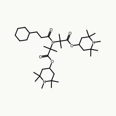 CN1C(C)(C)CC(OC(=O)C(C)(C)N(C(=O)CCC2CCCCC2)C(C)(C)C(=O)OC2CC(C)(C)N(C)C(C)(C)C2)CC1(C)C